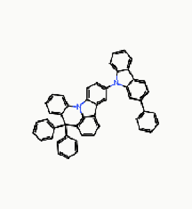 c1ccc(-c2ccc3c4ccccc4n(-c4ccc5c(c4)c4cccc6c4n5-c4ccccc4C6(c4ccccc4)c4ccccc4)c3c2)cc1